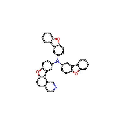 c1ccc2c(c1)oc1ccc(N(c3ccc4oc5ccccc5c4c3)c3ccc4oc5ccc6ccncc6c5c4c3)cc12